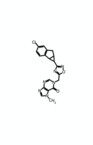 Cn1cnc2ncn(Cc3nc(C4C5Cc6cc(Cl)ccc6C54)no3)c(=O)c21